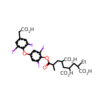 CCC(CC(CC(CC(C)C(=O)Oc1c(I)cc(Oc2c(I)cc(CC(=O)O)cc2I)cc1I)C(=O)O)C(=O)O)C(=O)O